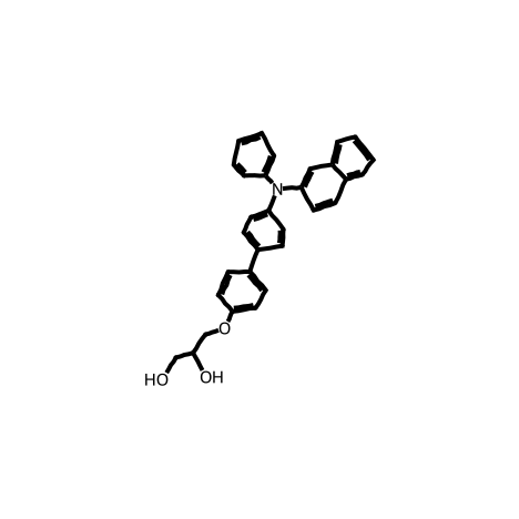 OCC(O)COc1ccc(-c2ccc(N(c3ccccc3)c3ccc4ccccc4c3)cc2)cc1